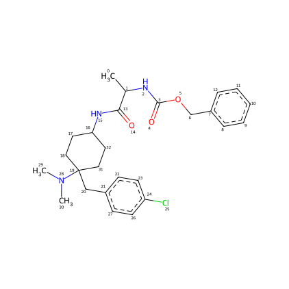 CC(NC(=O)OCc1ccccc1)C(=O)NC1CCC(Cc2ccc(Cl)cc2)(N(C)C)CC1